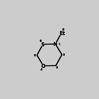 [CH2]CN1CCOCS1